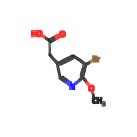 COc1ncc(CC(=O)O)cc1Br